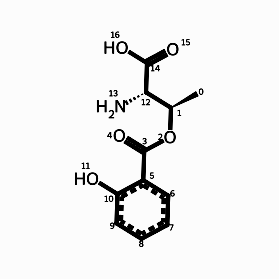 C[C@@H](OC(=O)c1ccccc1O)[C@H](N)C(=O)O